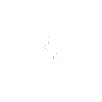 COC1COC[C@@H]1Oc1cc(NC(=O)N2CCCc3cc(CN4C(=O)OC[C@@H]4C)c(C=O)nc32)ncc1C#N